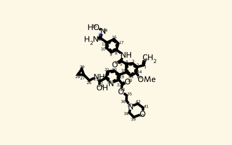 C=Cc1cc(C(=O)Nc2ccc(/C(N)=N/O)cc2)c(-c2ccc(C(O)NCC3CC3)nc2C(=O)OCCN2CCOCC2)cc1OC